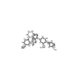 COc1cc(-c2nc3n(n2)CCC[C@@H]3c2ccc(Br)cc2C(F)(F)F)ccc1-n1cnc(C)c1